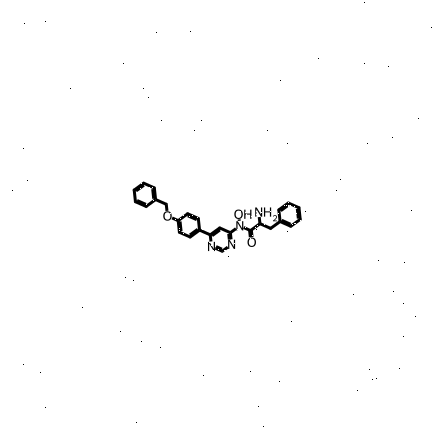 NC(Cc1ccccc1)C(=O)N(O)c1cc(-c2ccc(OCc3ccccc3)cc2)ncn1